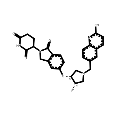 N#Cc1ccc2cc(CN3C[C@H](F)[C@H](Oc4ccc5c(c4)CN(C4CCC(=O)NC4=O)C5=O)C3)ccc2n1